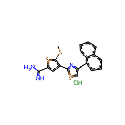 CSc1sc(C(=N)N)cc1-c1nc(-c2cccc3ccccc23)cs1.Cl